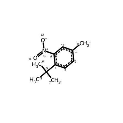 [CH2]c1ccc(C(C)(C)C)c([N+](=O)[O-])c1